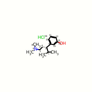 CC(C)[C@H](CCN(C)C)c1cccc(O)c1.Cl